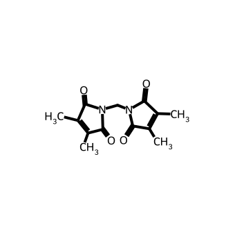 CC1=C(C)C(=O)N(CN2C(=O)C(C)=C(C)C2=O)C1=O